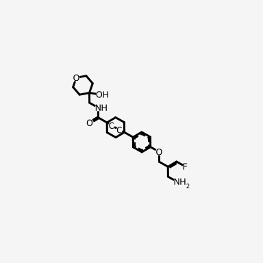 NCC(=CF)COc1ccc(C23CCC(C(=O)NCC4(O)CCOCC4)(CC2)CC3)cc1